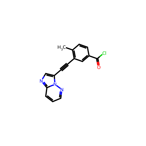 Cc1ccc(C(=O)Cl)cc1C#Cc1cnc2cccnn12